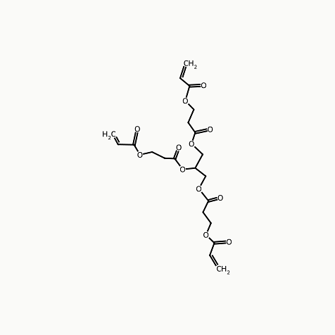 C=CC(=O)OCCC(=O)OCC(COC(=O)CCOC(=O)C=C)OC(=O)CCOC(=O)C=C